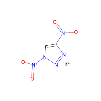 O=[N+]([O-])c1cn([N+](=O)[O-])nn1.[K+]